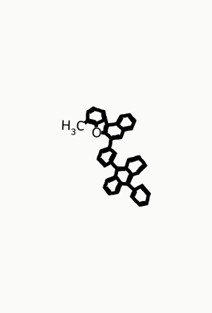 Cc1cccc2c1oc1c(-c3cccc(-c4c5ccccc5c(-c5ccccc5)c5ccccc45)c3)cc3ccccc3c12